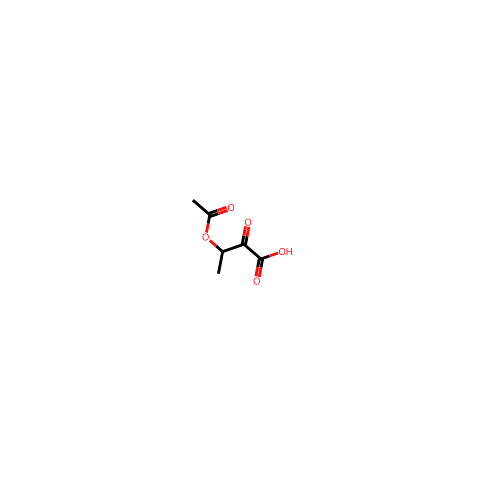 CC(=O)OC(C)C(=O)C(=O)O